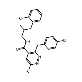 CC(CNC(=O)c1cc(Cl)nnc1Sc1ccc(Cl)cc1)Cc1ccccc1Cl